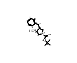 CC(C)(C)OC(=O)N1CC(Cc2ccccc2)[C@@H](O)C1